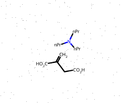 C=C(CC(=O)O)C(=O)O.CCCN(CCC)CCC